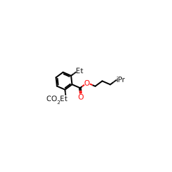 CCOC(=O)c1cccc(CC)c1C(=O)OCCCC(C)C